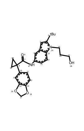 CC(C)(C)c1cc2cc(NC(=O)C3(c4ccc5c(c4)OCO5)CC3)ccc2n1CCCO